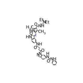 CCN(CC)CCNC(=O)c1c(C)[nH]c(/C=C2\C(=O)Nc3ccc(NC(=O)CCC(=O)n4ncc5ccc(NC(=O)Nc6ccccc6)cc54)cc32)c1C